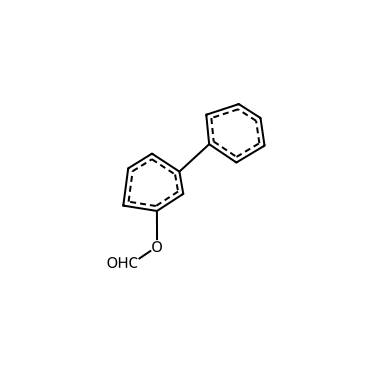 O=COc1cccc(-c2ccccc2)c1